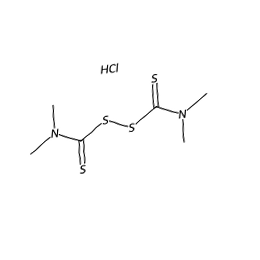 CN(C)C(=S)SSC(=S)N(C)C.Cl